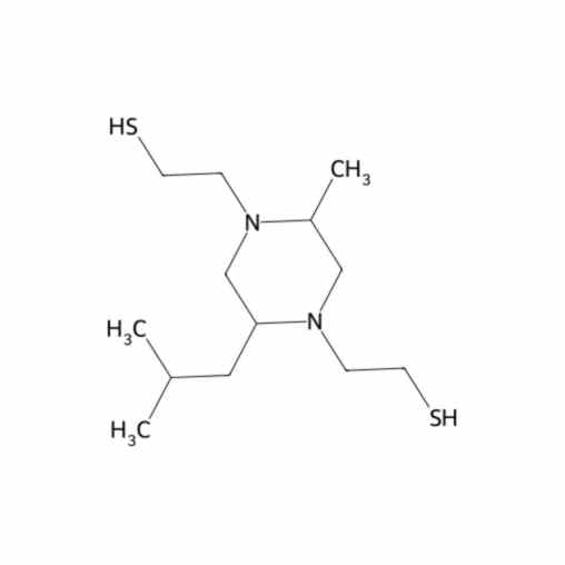 CC(C)CC1CN(CCS)C(C)CN1CCS